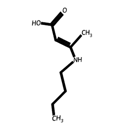 CCCCNC(C)=CC(=O)O